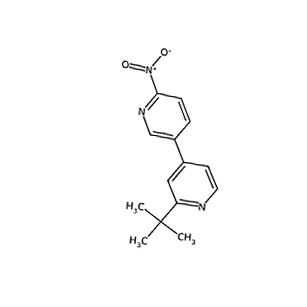 CC(C)(C)c1cc(-c2ccc([N+](=O)[O-])nc2)ccn1